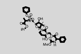 COC(=O)NC(C(=O)OCN1C(=O)N([C@@H]2O[C@H](COP(=O)(NC(C)C(=O)OC(C)C)Oc3ccccc3)[C@@H](O)[C@@]2(C)F)C=CC1O)c1ccccc1